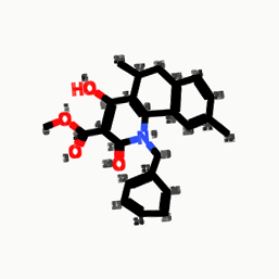 COC(=O)c1c(O)c2c(n(Cc3ccccc3)c1=O)-c1cc(C)ccc1CC2C